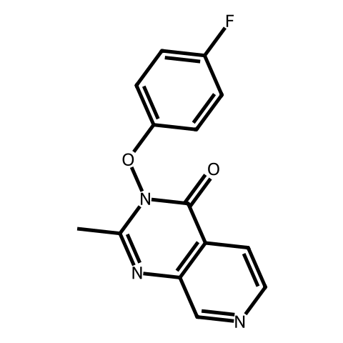 Cc1nc2cnccc2c(=O)n1Oc1ccc(F)cc1